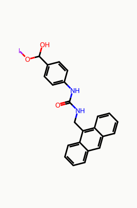 O=C(NCc1c2ccccc2cc2ccccc12)Nc1ccc(C(O)OI)cc1